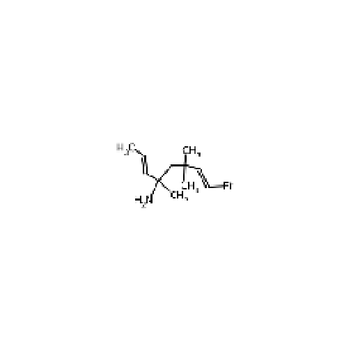 C/C=C/C(C)(N)CC(C)(C)/C=C/CC